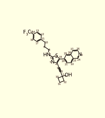 OC1(C#Cc2nc(NCCCc3ccc(C(F)(F)F)cc3)sc2-c2ccc3cnccc3c2)CCC1